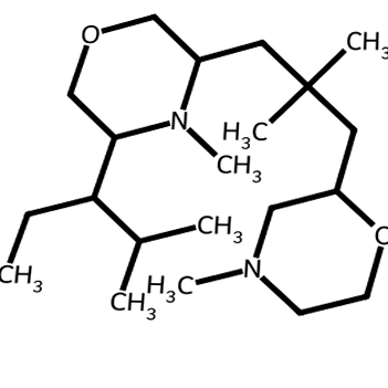 CCC(C(C)C)C1COCC(CC(C)(C)CC2CN(C)CCO2)N1C